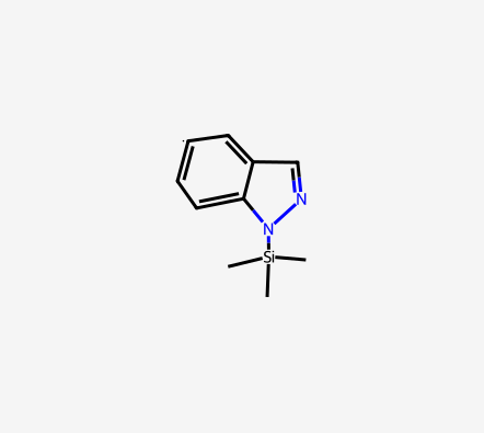 C[Si](C)(C)n1ncc2c[c]ccc21